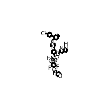 CC1(C)CCC(CN2CCN(c3ccc(C(=O)NS(=O)(=O)c4cc(F)c(OCC5(F)CCOCC5)c(F)c4)c(Oc4cnc5[nH]ccc5c4)c3)CC2)=C(c2ccc(Cl)cc2)C1